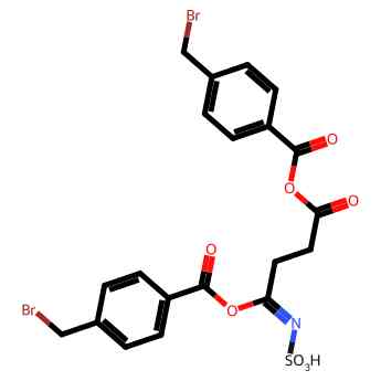 O=C(CC/C(=N/S(=O)(=O)O)OC(=O)c1ccc(CBr)cc1)OC(=O)c1ccc(CBr)cc1